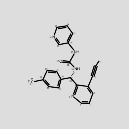 CC#Cc1cccnc1[C@@H](NC(=O)Nc1cccnc1)c1ccc(C(F)(F)F)cc1